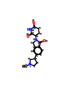 CC(C)(C)N1CCC(c2ccc3c(c2)CN(C2CCC(=O)NC2=O)C3=O)C1